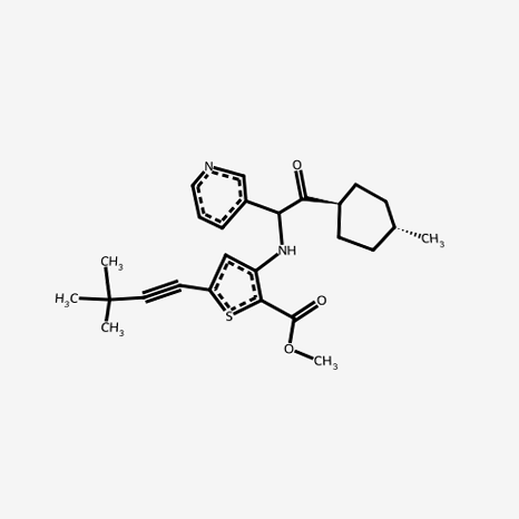 COC(=O)c1sc(C#CC(C)(C)C)cc1NC(c1cccnc1)C(=O)[C@H]1CC[C@H](C)CC1